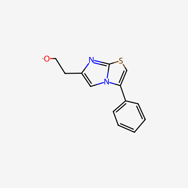 [O]CCc1cn2c(-c3ccccc3)csc2n1